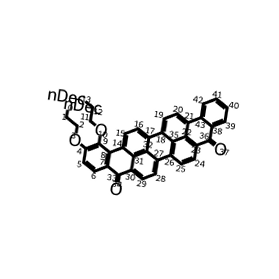 CCCCCCCCCCCCOc1ccc2c(c1OCCCCCCCCCCCC)-c1ccc3c4ccc5c6c(ccc(c7ccc(c1c73)C2=O)c64)C(=O)c1ccccc1-5